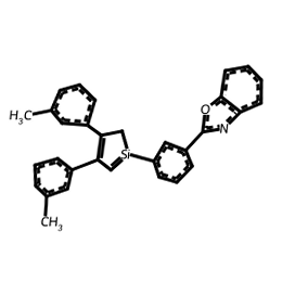 Cc1cccc(C2=C(c3cccc(C)c3)C[Si](c3cccc(-c4nc5ccccc5o4)c3)=C2)c1